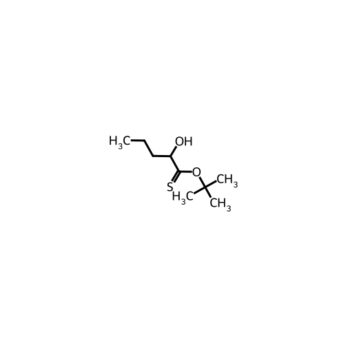 CCCC(O)C(=S)OC(C)(C)C